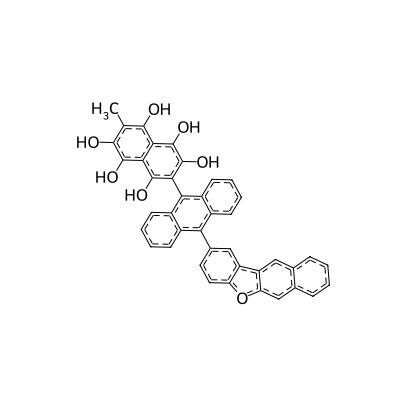 Cc1c(O)c(O)c2c(O)c(-c3c4ccccc4c(-c4ccc5oc6cc7ccccc7cc6c5c4)c4ccccc34)c(O)c(O)c2c1O